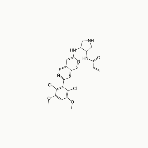 C=CC(=O)NC1CNCC1Nc1cc2cnc(-c3c(Cl)c(OC)cc(OC)c3Cl)cc2cn1